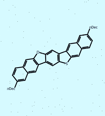 CCCCCCCCCCc1ccc2cc3oc4cc5c(cc4c3cc2c1)sc1cc2ccc(CCCCCCCCCC)cc2cc15